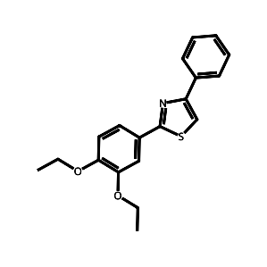 CCOc1ccc(-c2nc(-c3ccccc3)cs2)cc1OCC